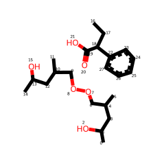 CC(O)CC(C)COOCC(C)CC(C)O.CCC(C(=O)O)c1ccccc1